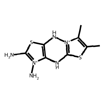 Cc1sc2[n+](c1C)Nc1sc(N)[n+](N)c1N2